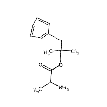 CC(N)C(=O)OC(C)(C)Cc1ccccc1